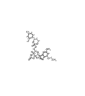 CCOc1nc(N)nc2c1ncn2[C@@H]1O[C@H](CO[P@@]2(=O)OCC[C@@H](c3ccc(F)cc3F)O2)[C@H]2OC(=O)O[C@]21C